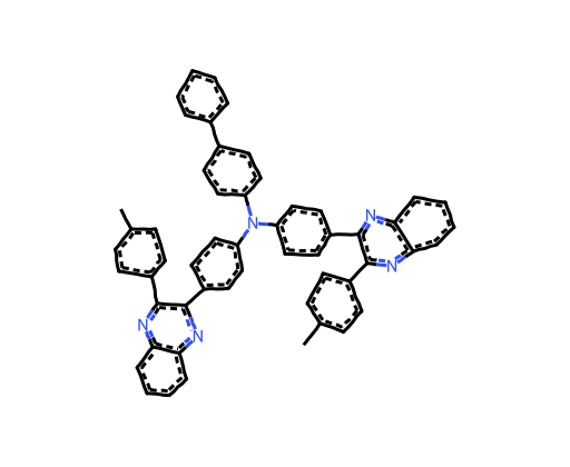 Cc1ccc(-c2nc3ccccc3nc2-c2ccc(N(c3ccc(-c4ccccc4)cc3)c3ccc(-c4nc5ccccc5nc4-c4ccc(C)cc4)cc3)cc2)cc1